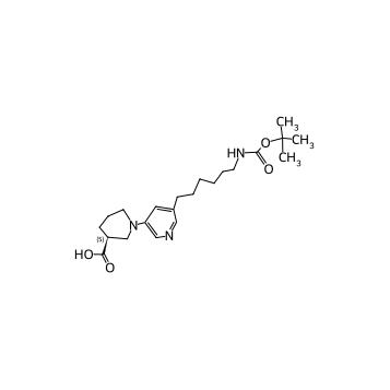 CC(C)(C)OC(=O)NCCCCCCc1cncc(N2CCC[C@H](C(=O)O)C2)c1